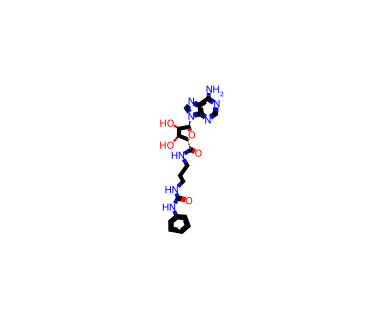 Nc1ncnc2c1ncn2[C@@H]1O[C@H](C(=O)NCCCNC(=O)Nc2ccccc2)[C@@H](O)[C@H]1O